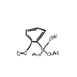 CCOc1ccccc1[Si](OC(C)=O)(OC(C)=O)OC(C)=O